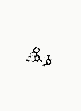 Cc1cc(F)ccc1-c1cc(Cn2ccn(C)c2=N)cc(C(=O)N[C@H](C)c2ccc(F)c(C(F)(F)F)c2)c1